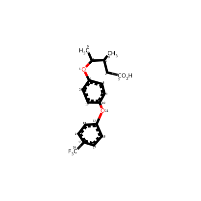 CC(CC(=O)O)C(C)Oc1ccc(Oc2ccc(C(F)(F)F)cc2)cc1